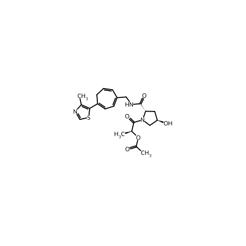 CC(=O)O[C@@H](C)C(=O)N1C[C@H](O)C[C@H]1C(=O)NCC1=CC=C(c2scnc2C)CC=C1